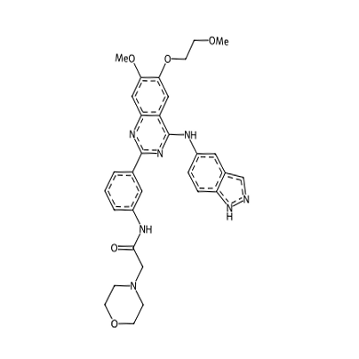 COCCOc1cc2c(Nc3ccc4[nH]ncc4c3)nc(-c3cccc(NC(=O)CN4CCOCC4)c3)nc2cc1OC